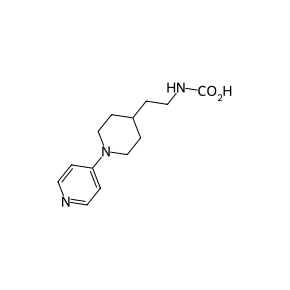 O=C(O)NCCC1CCN(c2ccncc2)CC1